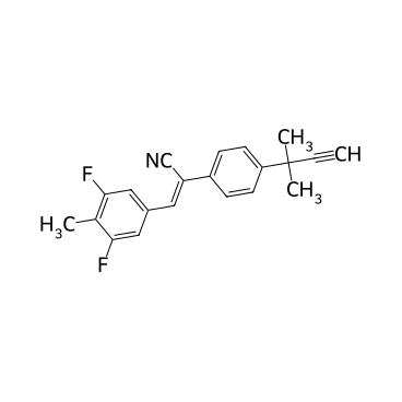 C#CC(C)(C)c1ccc(/C(C#N)=C/c2cc(F)c(C)c(F)c2)cc1